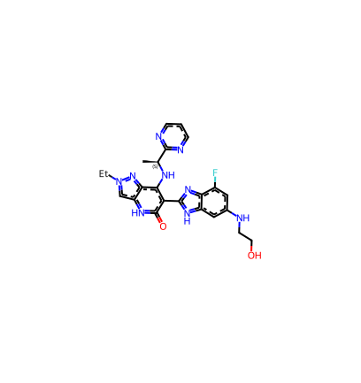 CCn1cc2[nH]c(=O)c(-c3nc4c(F)cc(NCCO)cc4[nH]3)c(N[C@@H](C)c3ncccn3)c2n1